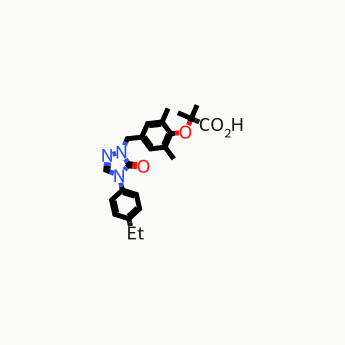 CCc1ccc(-n2cnn(Cc3cc(C)c(OC(C)(C)C(=O)O)c(C)c3)c2=O)cc1